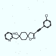 OC1(Cc2ccccn2)CCC2(CC1)CC(C#Cc1cccc(Cl)c1)=NO2